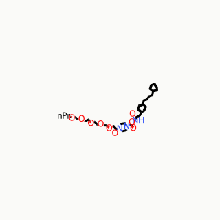 CCCOCCOCCOCCOCCOCC(=O)N1CCN(C(=O)ONC(=O)Cc2ccc(CCCCc3ccccc3)cc2)CC1